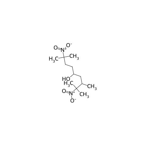 CC(CC(O)CCC(C)(C)[N+](=O)[O-])C(C)(C)[N+](=O)[O-]